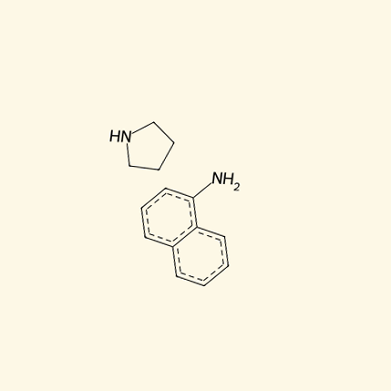 C1CCNC1.Nc1cccc2ccccc12